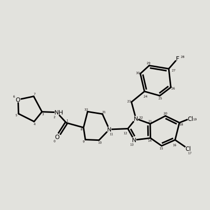 O=C(NC1CCOC1)C1CCN(c2nc3cc(Cl)c(Cl)cc3n2Cc2ccc(F)cc2)CC1